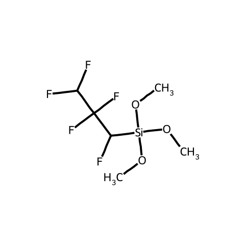 CO[Si](OC)(OC)C(F)C(F)(F)C(F)F